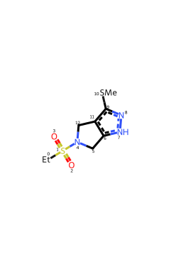 CCS(=O)(=O)N1Cc2[nH]nc(SC)c2C1